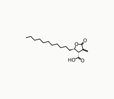 C=C1C(=O)O[C@H](CCCCCCCCCCC)[C@H]1C(=O)O